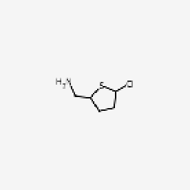 NCC1CCC(Cl)S1